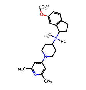 CC(=O)[N+](C)(C1CCN(c2cc(C)nc(C)c2)CC1)C1CCc2ccc(OC(=O)O)cc21